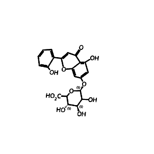 O=C(O)C1O[C@@H](Oc2cc(O)c3c(=O)cc(-c4ccccc4O)oc3c2)C(O)[C@@H](O)[C@@H]1O